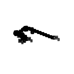 CCCCCCCCCCCCCCCC(=O)OCCC1CCN(CCCN2c3ccccc3Sc3cc(S(=O)(=O)N(C)C)ccc32)CC1